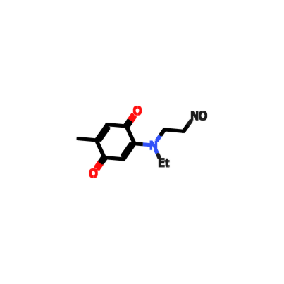 CCN(CCN=O)C1=CC(=O)C(C)=CC1=O